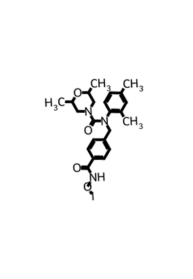 Cc1ccc(N(Cc2ccc(C(=O)NOI)cc2)C(=O)N2CC(C)OC(C)C2)c(C)c1